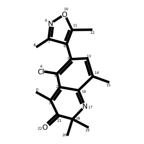 CC1=c2c(Cl)c(-c3c(C)noc3C)cc(C)c2=NC(C)(C)C1=O